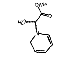 COC(=O)C(O)N1C=CC=CC1